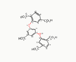 O=C(O)c1cc(Oc2cc(C(=O)O)ccc2C(=O)O)cc(Oc2cc(C(=O)O)ccc2C(=O)O)c1